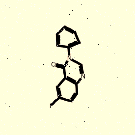 O=c1c2cc(I)ccc2ncn1-c1ccccc1